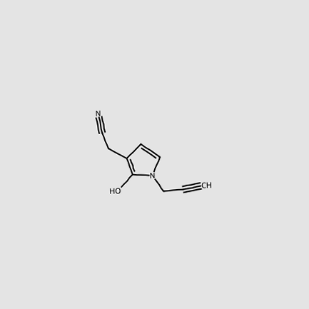 C#CCn1ccc(CC#N)c1O